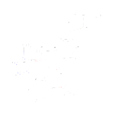 COc1cccc(-n2nnn(C)c2=O)c1COc1ccc(-c2ccc(C)s2)cc1C